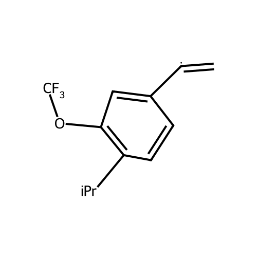 C=[C]c1ccc(C(C)C)c(OC(F)(F)F)c1